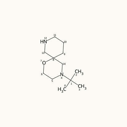 CC(C)(C)N1CCOC2(CCCNC2)C1